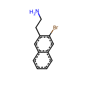 NCCc1cc2ccccc2cc1Br